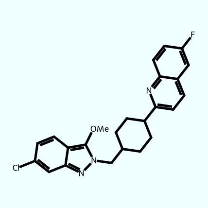 COc1c2ccc(Cl)cc2nn1CC1CCC(c2ccc3cc(F)ccc3n2)CC1